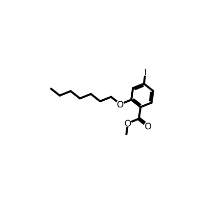 CCCCCCCOc1cc(I)ccc1C(=O)OC